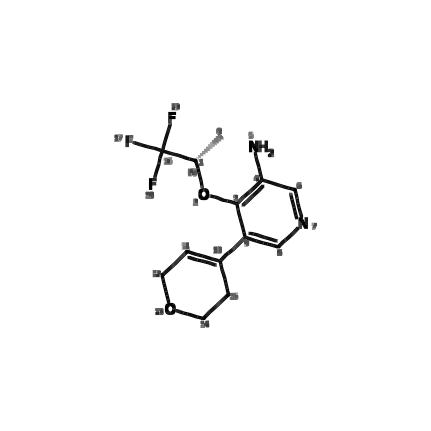 C[C@H](Oc1c(N)cncc1C1=CCOCC1)C(F)(F)F